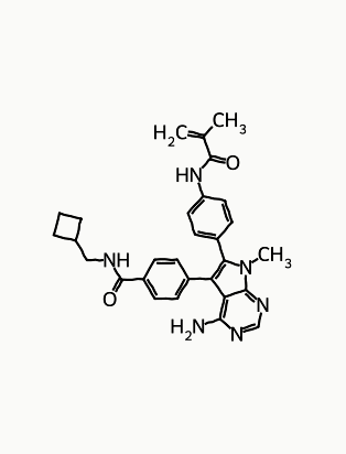 C=C(C)C(=O)Nc1ccc(-c2c(-c3ccc(C(=O)NCC4CCC4)cc3)c3c(N)ncnc3n2C)cc1